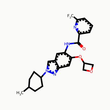 CC1CCC(n2cc3cc(NC(=O)c4cccc(C(F)(F)F)n4)c(OC4COC4)cc3n2)CC1